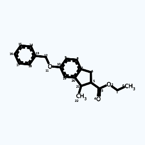 CCOC(=O)C1Cc2ccc(OCc3ccccc3)cc2C1C